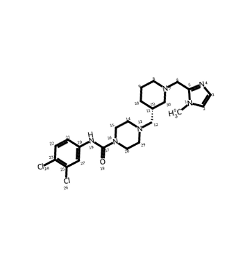 Cn1ccnc1CN1CCC[C@@H](CN2CCN(C(=O)Nc3ccc(Cl)c(Cl)c3)CC2)C1